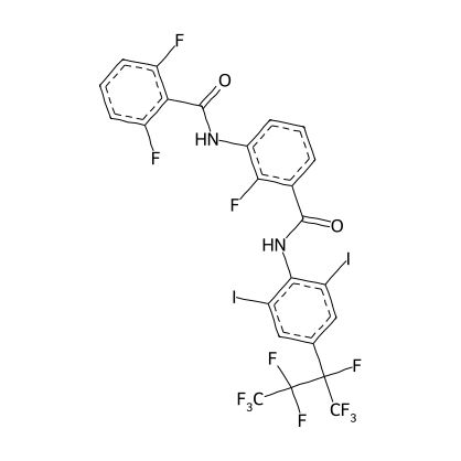 O=C(Nc1c(I)cc(C(F)(C(F)(F)F)C(F)(F)C(F)(F)F)cc1I)c1cccc(NC(=O)c2c(F)cccc2F)c1F